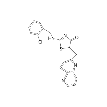 O=C1N=C(NCc2ccccc2Cl)S/C1=C\c1ccc2ncccc2n1